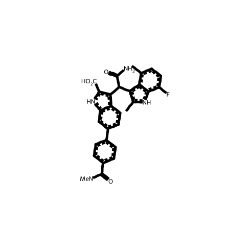 CNC(=O)c1ccc(-c2ccc3c(C(C(N)=O)c4c(C)[nH]c5c(F)ccc(C)c45)c(C(=O)O)[nH]c3c2)cc1